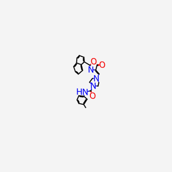 Cc1cccc(NC(=O)N2CCN(C=C3N=C(c4cccc5ccccc45)OC3=O)CC2)c1